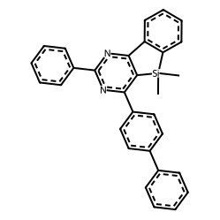 C[Si]1(C)c2ccccc2-c2nc(-c3ccccc3)nc(-c3ccc(-c4ccccc4)cc3)c21